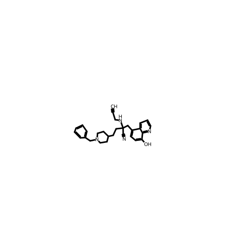 C#CCNC(C#N)(CCC1CCN(Cc2ccccc2)CC1)Cc1ccc(O)c2ncccc12